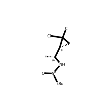 C[C@@H](N[S+]([O-])C(C)(C)C)[C@H]1CC1(Cl)Cl